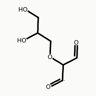 O=[C]C(C=O)OCC(O)CO